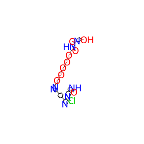 O=C(CCOCCOCCOCCOCCOCCn1cc(-c2ccc(-c3cncc(Cl)c3N3CCC4(CCNC4=O)CC3)cc2)cn1)NCC(=O)N1CCC(O)C1